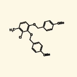 COc1ccc(COc2ccc(C)c(Cl)c2OCc2ccc(OC)cc2)cc1